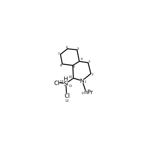 CCCN1CCC2CCCCC2C1[SiH](Cl)Cl